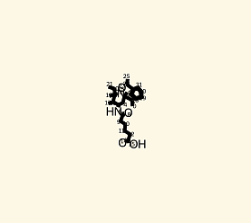 CCC1(C)CC(NC(=O)CCCCC(=O)O)C(C)C(C)(CC)N1OC(C)c1ccccc1